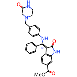 COC(=O)c1ccc2c(c1)NC(=O)/C2=C(\Nc1ccc(CN2CCNC(=O)C2)cc1)c1ccccc1